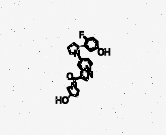 O=C(c1cnn2ccc(N3CCC[C@@H]3c3cc(O)ccc3F)cc12)N1CC[C@H](O)C1